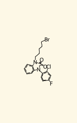 O=S1(=O)N(CCCCCBr)c2ccccc2N1c1ccc(F)cc1Cl